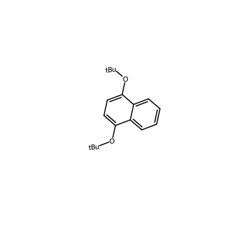 CC(C)(C)Oc1ccc(OC(C)(C)C)c2ccccc12